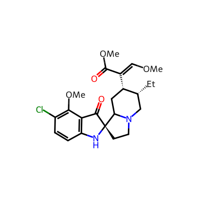 CC[C@@H]1CN2CC[C@]3(Nc4ccc(Cl)c(OC)c4C3=O)C2C[C@@H]1/C(=C\OC)C(=O)OC